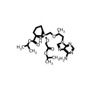 CC(C)OC(=O)COP1(CO[C@H](C)Cn2cnc3c(N)ncnc32)=C2CCCC(C(=O)OC(C)C)(C2)N1